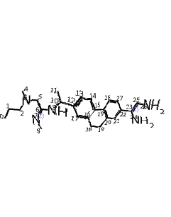 CCCN(C)C/C(=N/C)NC(C)c1ccc2c(c1)CCc1cc(/C(N)=C/N)ccc1-2